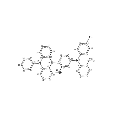 Cc1ccccc1N(c1ccc(F)cc1)c1ccc2c(c1)Nc1cccc3c1B2c1ccccc1N3c1ccccc1